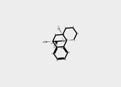 O=C1N[C@@]23CCCC[C@@H]2C[C@@H]1c1ccccc13